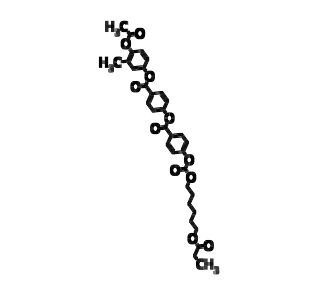 CCC(=O)OCCCCCCOC(=O)Oc1ccc(C(=O)Oc2ccc(C(=O)Oc3ccc(OC(C)=O)c(C)c3)cc2)cc1